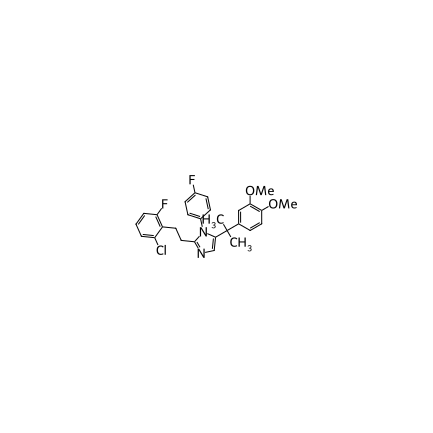 COc1ccc(C(C)(C)c2cnc(CCc3c(F)cccc3Cl)n2-c2ccc(F)cc2)cc1OC